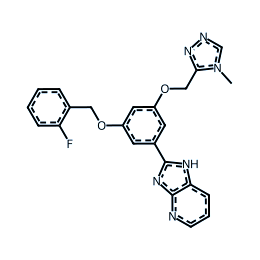 Cn1cnnc1COc1cc(OCc2ccccc2F)cc(-c2nc3ncccc3[nH]2)c1